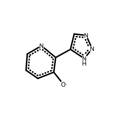 [O]c1cccnc1-c1cnn[nH]1